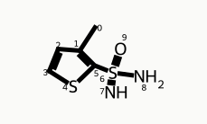 Cc1ccsc1S(=N)(N)=O